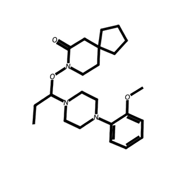 CCC(ON1CCC2(CCCC2)CC1=O)N1CCN(c2ccccc2OC)CC1